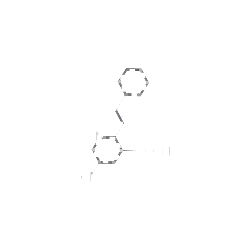 O=C(O)c1cc(Cl)cnc1/C=C/c1ccccc1